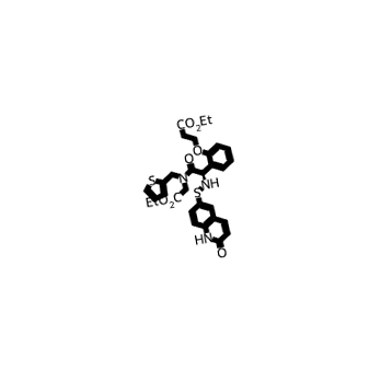 CCOC(=O)CCOc1ccccc1[C@@H](NSc1ccc2[nH]c(=O)ccc2c1)C(=O)N(CC(=O)OCC)Cc1cccs1